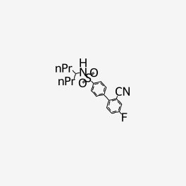 CCCC(CCC)NS(=O)(=O)c1ccc(-c2ccc(F)cc2C#N)cc1